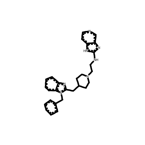 c1ccc(Cn2c(CC3CCN(CCNc4nc5cnccc5[nH]4)CC3)nc3ccccc32)cc1